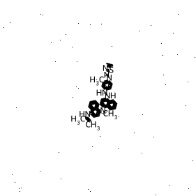 CCC(C)Nc1ccc(N(C)c2ccc(NNc3ccc(/N=N/c4nccs4)c(C)c3)c3ccccc23)c2ccccc12